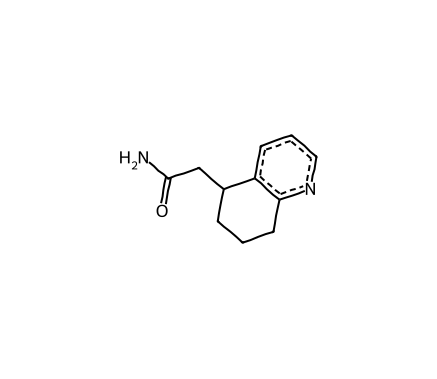 NC(=O)CC1CCCc2ncccc21